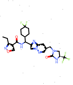 CCc1nocc1C(=O)NC(c1cn2ncc(CN3C[C@@H](C(F)(F)F)NC3=O)cc2n1)C1CCC(F)(F)CC1